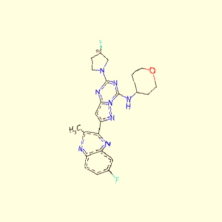 Cc1nc2ccc(F)cc2nc1-c1cc2nc(N3CC[C@@H](F)C3)nc(NC3CCOCC3)n2n1